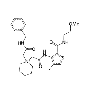 COCCNC(=O)c1scc(C)c1NC(=O)C[N+]1(CC(=O)NCc2ccccc2)CCCCC1